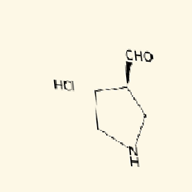 Cl.O=C[C@@H]1CCNC1